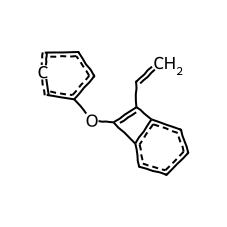 C=CC1=C(Oc2ccccc2)c2ccccc21